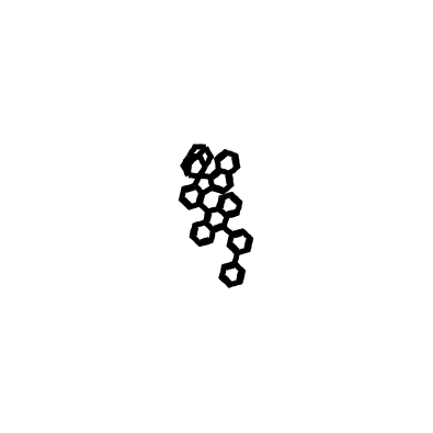 c1ccc(-c2cccc(-c3c4ccccc4c(-c4cccc5c4-c4ccc6ccccc6c4C54C5CC6CC(C5)CC4C6)c4ccccc34)c2)cc1